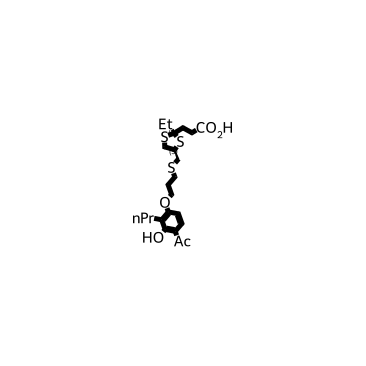 CCCc1c(OCCCSC[C@H]2CS[C@](CC)(CCC(=O)O)S2)ccc(C(C)=O)c1O